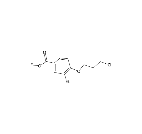 CCc1cc(C(=O)OF)ccc1OCCCCl